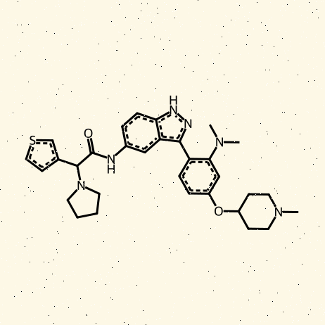 CN1CCC(Oc2ccc(-c3n[nH]c4ccc(NC(=O)C(c5ccsc5)N5CCCC5)cc34)c(N(C)C)c2)CC1